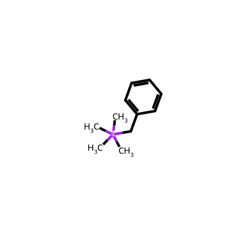 CI(C)(C)(C)Cc1ccccc1